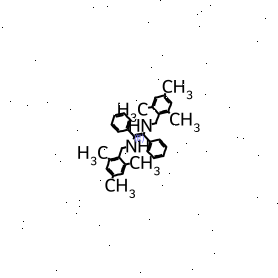 Cc1cc(C)c(CN/C(=C(/NCc2c(C)cc(C)cc2C)c2ccccc2)c2ccccc2)c(C)c1